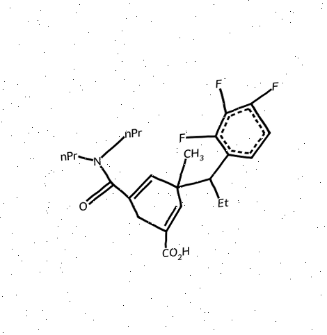 CCCN(CCC)C(=O)C1=CC(C)(C(CC)c2ccc(F)c(F)c2F)C=C(C(=O)O)C1